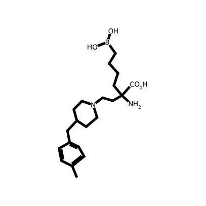 Cc1ccc(CC2CCN(CCC(N)(CCCCB(O)O)C(=O)O)CC2)cc1